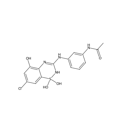 CC(=O)Nc1cccc(NC2=Nc3c(O)cc(Cl)cc3S(O)(O)N2)c1